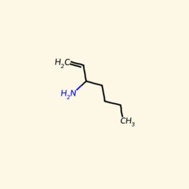 C=CC(N)CCCC